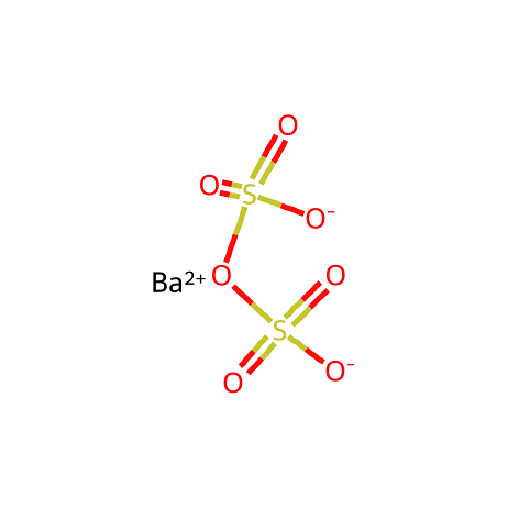 O=S(=O)([O-])OS(=O)(=O)[O-].[Ba+2]